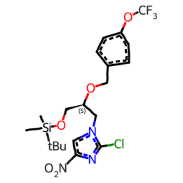 CC(C)(C)[Si](C)(C)OC[C@H](Cn1cc([N+](=O)[O-])nc1Cl)OCc1ccc(OC(F)(F)F)cc1